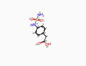 NS(=O)(=O)Nc1ccc(CC(=O)O)cc1